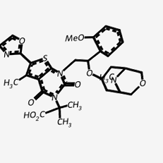 COc1ccccc1C(Cn1c(=O)n(C(C)(C)C(=O)O)c(=O)c2c(C)c(-c3ncco3)sc21)OC1CC2COCC(C1)N2C